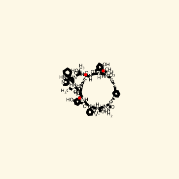 CCC[C@@H]1NC2=CC2(CC2c3cccnc3NC23CCCCCC3)NC(=O)[C@H]([C@@H](C)O)NC(=O)[C@@H]2CCCNC(=O)C[C@@H](NC1=O)C(=O)N[C@@H](Cc1ccc(O)cc1)C(=O)N[C@@H](C1CCCCC1)C(=O)N[C@@H]([C@@H](C)O)C(=O)N[C@H](C(N)=O)CSCc1cccc(c1)CSCCC(=O)N[C@@H](C(C)(C)C)C(=O)N[C@@H](Cc1ccc(O)cc1)C(=O)N2